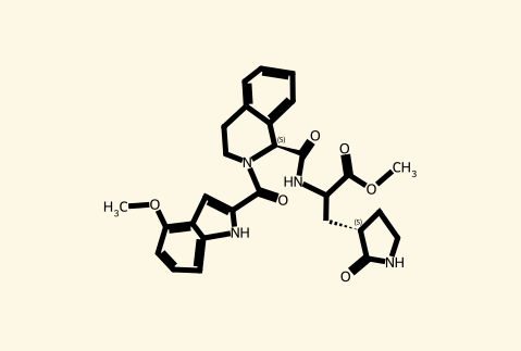 COC(=O)C(C[C@@H]1CCNC1=O)NC(=O)[C@@H]1c2ccccc2CCN1C(=O)c1cc2c(OC)cccc2[nH]1